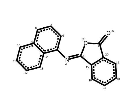 O=C1O/C(=N\c2cccc3ccccc23)c2ccccc21